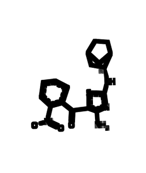 Nc1nc(N[C@H]2CC3CCC2C3)sc1C(=O)c1ccccc1[N+](=O)[O-]